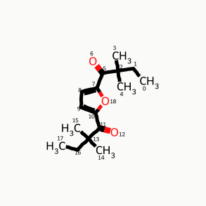 CCC(C)(C)C(=O)c1ccc(C(=O)C(C)(C)CC)o1